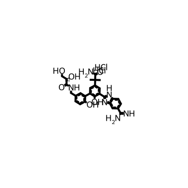 CC(C)(C(N)=O)c1cc(-c2nc3cc(C(=N)N)ccc3[nH]2)c(O)c(-c2cc(CNC(=O)[C@@H](O)CO)ccc2O)c1.Cl.Cl